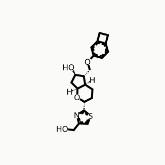 OCc1csc([C@H]2CC[C@@H]3[C@@H](COc4ccc5c(c4)CC5)[C@H](O)C[C@@H]3O2)n1